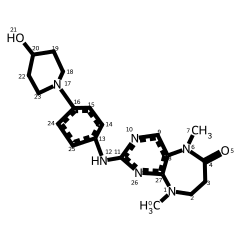 CN1CCC(=O)N(C)c2cnc(Nc3ccc(N4CCC(O)CC4)cc3)nc21